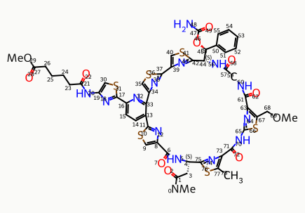 CNC(=O)C[C@@H]1NC(=O)c2csc(n2)-c2ccc(-c3nc(NC(=O)CCCCC(=O)OC)cs3)nc2-c2csc(n2)-c2csc(n2)[C@H]([C@@H](OC(N)=O)c2ccccc2)NC(=O)CNC(=O)c2nc(sc2COC)NC(=O)c2nc1sc2C